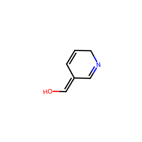 OC=C1C=CCN=C1